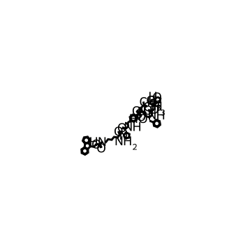 CC(C)CN(C[C@@H](O)[C@H](Cc1ccccc1)NC(=O)O[C@H]1CO[C@H]2OCC[C@H]21)S(=O)(=O)c1ccc(CNC(=O)[C@@H]2CCCN2C(=O)[C@@H](N)CCCCNC(=O)OCC2c3ccccc3-c3ccccc32)cc1